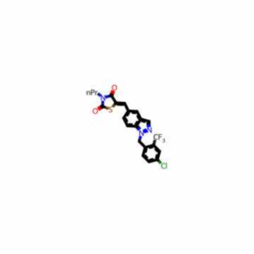 CCCN1C(=O)S/C(=C\c2ccc3c(cnn3Cc3ccc(Cl)cc3C(F)(F)F)c2)C1=O